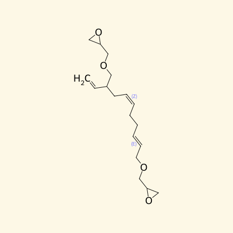 C=CC(C/C=C\CC/C=C/COCC1CO1)COCC1CO1